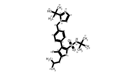 CC(C)Cc1sc(S(=O)(=O)NC(C)(C)C)c(-c2ccc(Cn3ccnc3C(C)(C)O)cc2)c1F